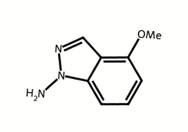 COc1cccc2c1cnn2N